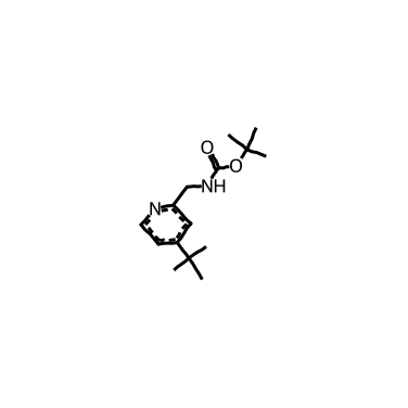 CC(C)(C)OC(=O)NCc1cc(C(C)(C)C)ccn1